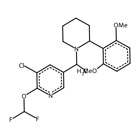 COc1cccc(OC)c1C1CCCCN1C(C)c1cnc(OC(F)F)c(Cl)c1